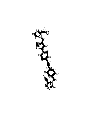 C[C@H](O)c1nccn1Cc1cc(-c2ccc(C#Cc3ccc(Cn4cnnc4C#N)cc3)cc2)on1